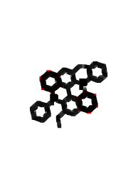 CCc1cc2ccccc2c(-c2c(P(c3ccccc3)c3ccccc3)c(CC)cc3ccccc23)c1P(c1ccccc1)c1ccccc1